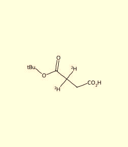 [2H]C([2H])(CC(=O)O)C(=O)OC(C)(C)C